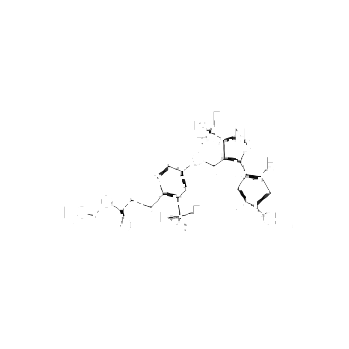 CCOC(=O)CCc1ccc(OCc2c(C(F)(F)F)nsc2-c2ccc(C)cc2F)cc1C(F)(F)F